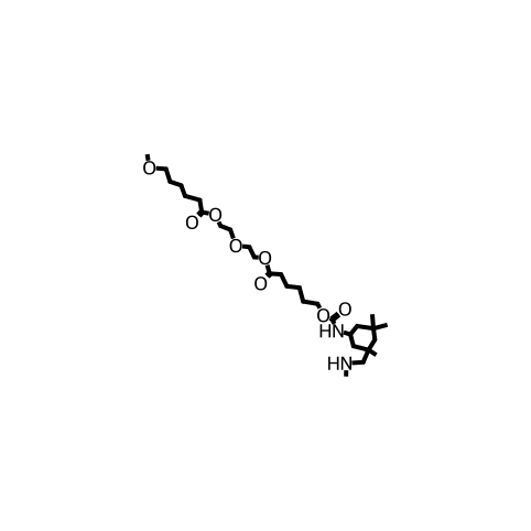 CNCC1(C)CC(NC(=O)OCCCCCC(=O)OCCOCCOC(=O)CCCCCOC)CC(C)(C)C1